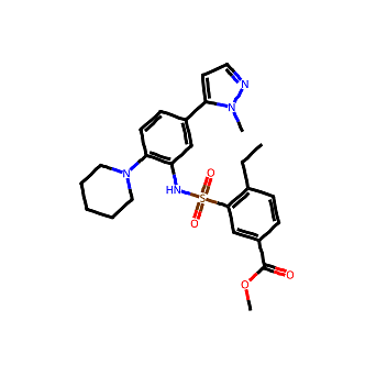 CCc1ccc(C(=O)OC)cc1S(=O)(=O)Nc1cc(-c2ccnn2C)ccc1N1CCCCC1